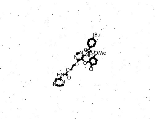 COc1ccc(Cl)c(Oc2c(NS(=O)(=O)c3ccc(C(C)(C)C)cc3)ncnc2OCCOC(=O)Nc2cnccn2)c1